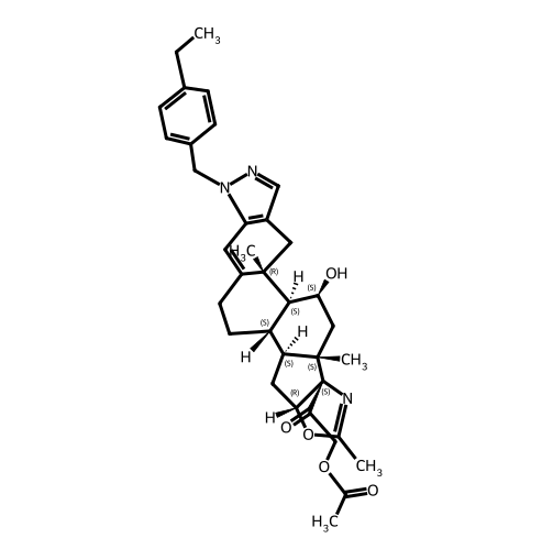 CCc1ccc(Cn2ncc3c2C=C2CC[C@@H]4[C@H]([C@@H](O)C[C@@]5(C)[C@H]4C[C@H]4OC(C)=N[C@]45C(=O)COC(C)=O)[C@@]2(C)C3)cc1